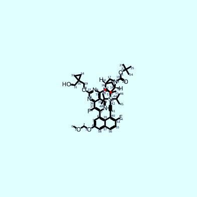 COCOc1cc(-c2ncc3c(N4C[C@@H]5C[C@H]4CN5C(=O)OC(C)(C)C)nc(OCC4(CO)CC4)nc3c2F)c2c(C#C[Si](C(C)C)(C(C)C)C(C)C)c(F)ccc2c1